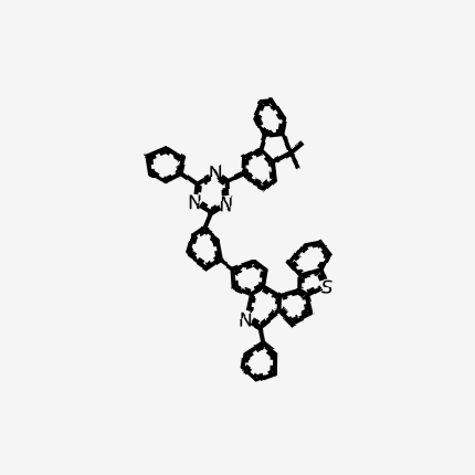 CC1(C)c2ccccc2-c2cc(-c3nc(-c4ccccc4)nc(-c4cccc(-c5ccc6c(c5)nc(-c5ccccc5)c5ccc7sc8ccccc8c7c56)c4)n3)ccc21